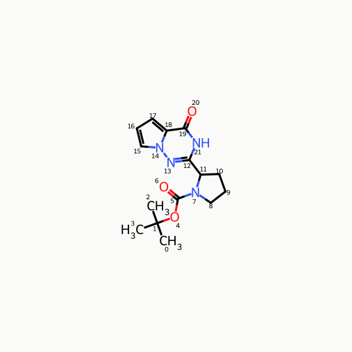 CC(C)(C)OC(=O)N1CCCC1c1nn2cccc2c(=O)[nH]1